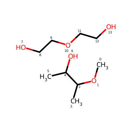 COC(C)C(C)O.OCCOCCO